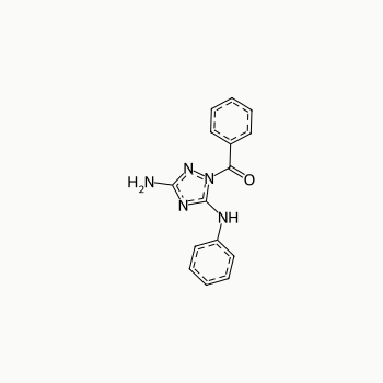 Nc1nc(Nc2ccccc2)n(C(=O)c2ccccc2)n1